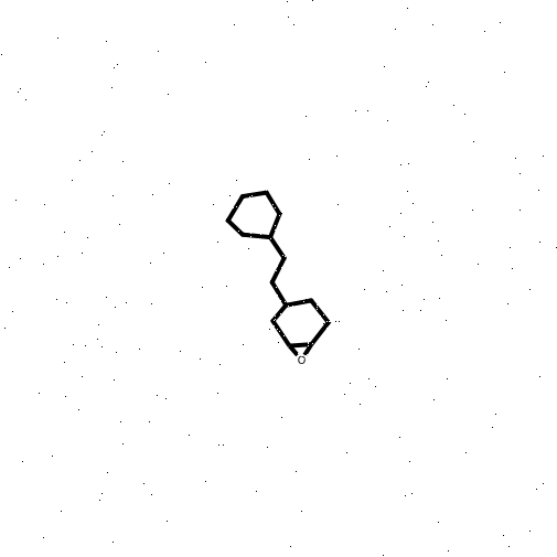 C1CCC(CCC2CCC3OC3C2)CC1